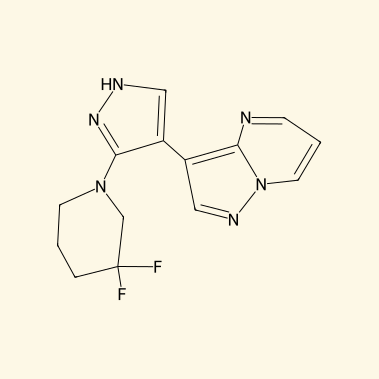 FC1(F)CCCN(c2n[nH]cc2-c2cnn3cccnc23)C1